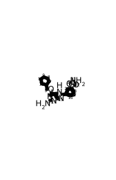 Nc1nc(OCC2CCCCC2)c2[nH]c(-c3cccc(S(N)(=O)=O)c3)nc2n1